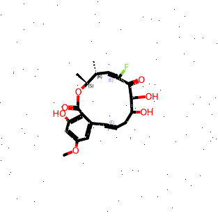 COc1cc(O)c2c(c1)/C=C/CC(O)C(O)C(=O)/C(F)=C\[C@@H](C)[C@H](C)OC2=O